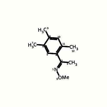 CO/N=C(\C)c1cc(C)c(C)cc1C